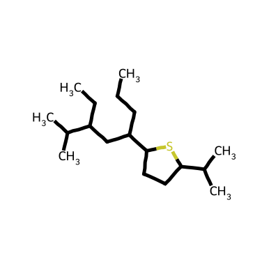 CCCC(CC(CC)C(C)C)C1CCC(C(C)C)S1